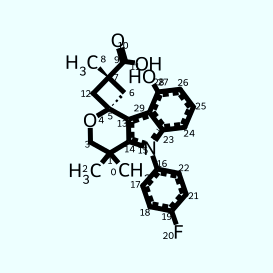 CC1(C)CO[C@]2(C[C@@](C)(C(=O)O)C2)c2c1n(-c1ccc(F)cc1)c1cccc(O)c12